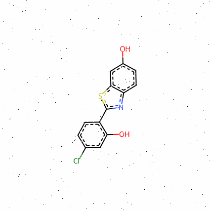 Oc1ccc2nc(-c3ccc(Cl)cc3O)sc2c1